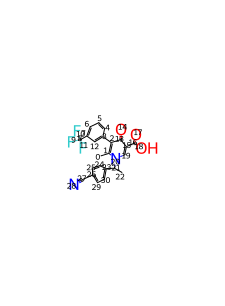 Cc1c(-c2cccc(C(F)(F)F)c2)c(=O)c(C(=O)O)cn1C(C)c1ccc(C#N)cc1